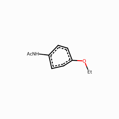 [CH2]C(=O)Nc1ccc(OCC)cc1